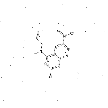 C=CCN(C)c1nc(Cl)nc2ccc([N+](=O)[O-])cc12